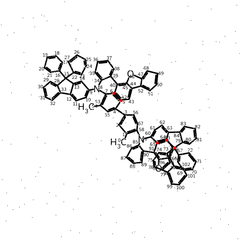 Cc1cc(-c2ccc(N(c3ccc4c(c3)C(c3ccccc3)(c3ccccc3)c3ccccc3-4)c3ccccc3-c3cccc4c3oc3ccccc34)c(C)c2)ccc1N(c1ccc2c(c1)C(c1ccccc1)(c1ccccc1)c1ccccc1-2)c1ccccc1-c1cccc2c1oc1ccccc12